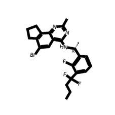 CCCC(F)(F)c1cccc([C@@H](C)Nc2nc(C)nc3c4c(c(Br)cc23)CCC4)c1F